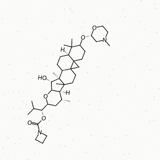 CC(C)[C@@H](OC(=O)N1CCC1)C1C[C@@H](C)[C@H]2C(O1)[C@H](O)[C@@]1(C)C3CC[C@H]4C(C)(C)C(O[C@H]5CN(C)CCO5)CCC45CC35CCC21C